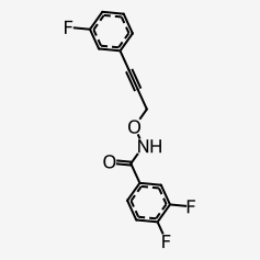 O=C(NOCC#Cc1cccc(F)c1)c1ccc(F)c(F)c1